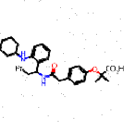 CC(C)CC(NC(=O)Cc1ccc(OC(C)(C)C(=O)O)cc1)c1ccccc1NC1CCCCC1